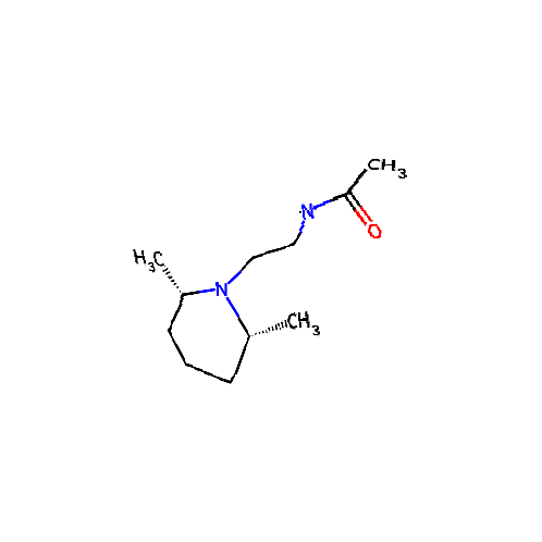 CC(=O)[N]CCN1[C@H](C)CCC[C@@H]1C